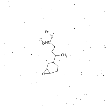 CCO[SiH](CCC(C)C1CCC2OC2C1)OCC